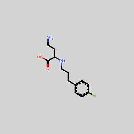 NCCC(NCCCc1ccc(F)cc1)C(=O)O